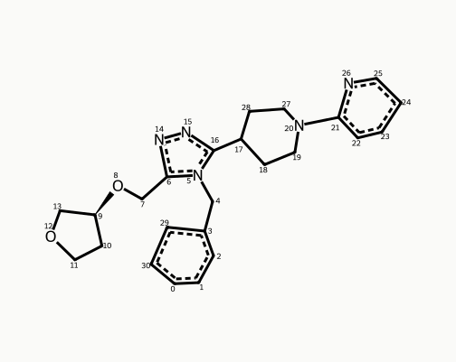 c1ccc(Cn2c(CO[C@H]3CCOC3)nnc2C2CCN(c3ccccn3)CC2)cc1